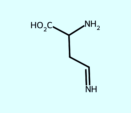 N=CCC(N)C(=O)O